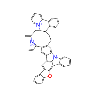 C=C/C1=N/C(=C)CC2C(CCc3cc4c(cc31)c1cc3c5ccccc5oc3c3c5ccccc5n4c13)c1ccccc1-c1cccc[n+]12